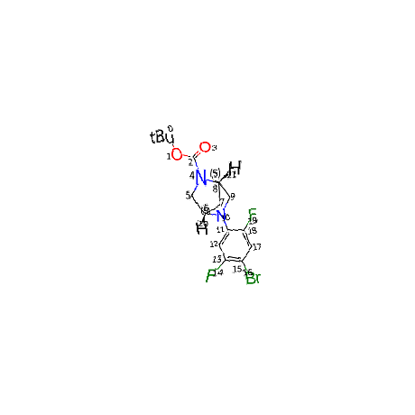 CC(C)(C)OC(=O)N1C[C@@H]2C[C@H]1CN2c1cc(F)c(Br)cc1F